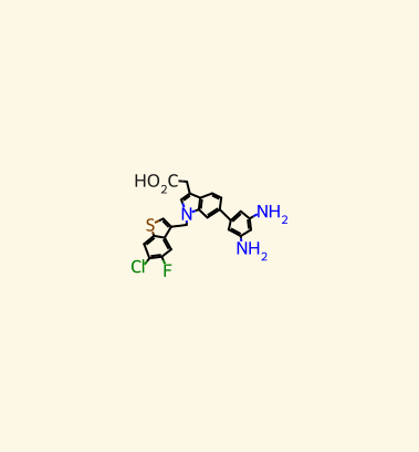 Nc1cc(N)cc(-c2ccc3c(CC(=O)O)cn(Cc4csc5cc(Cl)c(F)cc45)c3c2)c1